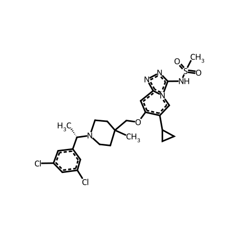 C[C@@H](c1cc(Cl)cc(Cl)c1)N1CCC(C)(COc2cc3nnc(NS(C)(=O)=O)n3cc2C2CC2)CC1